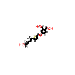 CC/C(=C\CCC(O)(CC)CC)c1ccc(COc2ccc(CO)c(CO)c2)s1